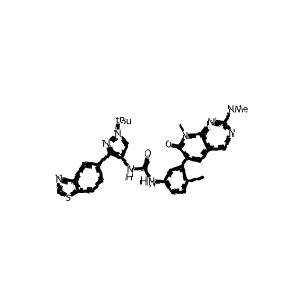 CNc1ncc2cc(-c3cc(NC(=O)Nc4cn(C(C)(C)C)nc4-c4ccc5scnc5c4)ccc3C)c(=O)n(C)c2n1